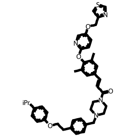 Cc1cc(C=CC(=O)N2CCN(Cc3ccc(CCOc4ccc(C(C)C)cc4)cc3)CC2)cc(C)c1Oc1ccc(OCc2cscn2)cn1